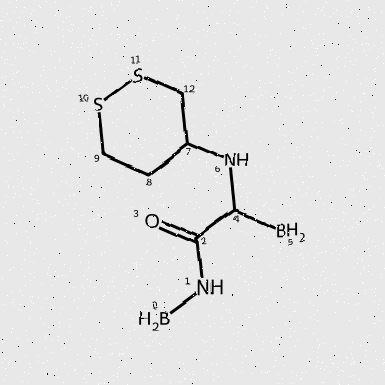 BNC(=O)C(B)NC1CCSSC1